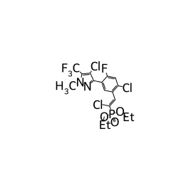 CCOP(=O)(OCC)C(Cl)=Cc1cc(-c2nn(C)c(C(F)(F)F)c2Cl)c(F)cc1Cl